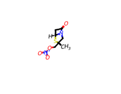 CC1(CO[N+](=O)[O-])CN2C(=O)C[C@H]2S1